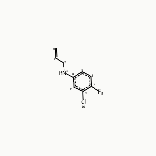 C=CCNc1ccc(F)c(Cl)c1